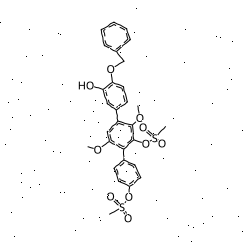 COc1cc(-c2ccc(OCc3ccccc3)c(O)c2)c(OC)c(OS(C)(=O)=O)c1-c1ccc(OS(C)(=O)=O)cc1